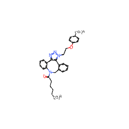 O=C(O)CCCCC(=O)N1Cc2ccccc2-c2c(nnn2CCOc2ccc(C(=O)O)cc2)-c2ccccc21